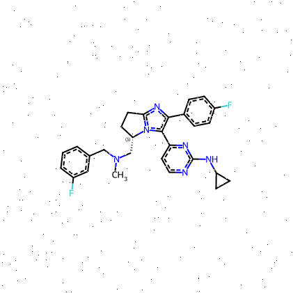 CN(Cc1cccc(F)c1)C[C@@H]1CCc2nc(-c3ccc(F)cc3)c(-c3ccnc(NC4CC4)n3)n21